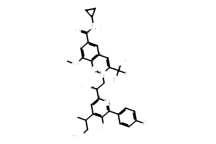 COc1cc(C(=O)NC2CC2)cc2c1NN(CC(O)c1cc(C(C)CO)c(F)c(-c3ccc(F)cc3)n1)C(C(F)(F)F)=C2